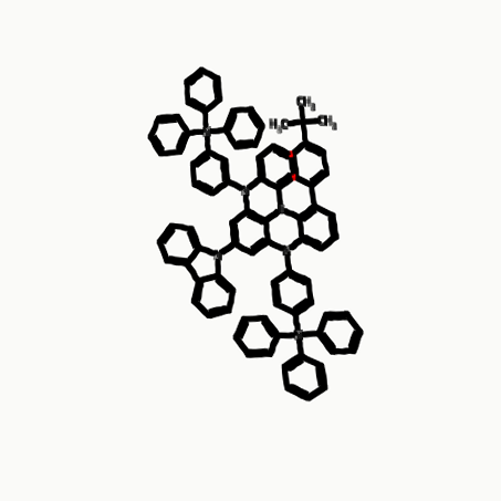 CC(C)(C)c1ccc(-c2cccc3c2B2c4ccccc4N(c4cccc([Si](c5ccccc5)(c5ccccc5)c5ccccc5)c4)c4cc(-n5c6ccccc6c6ccccc65)cc(c42)N3c2ccc([Si](c3ccccc3)(c3ccccc3)c3ccccc3)cc2)cc1